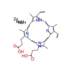 C=CC1=C(C)c2cc3[nH]c(cc4nc(cc5[nH]c(cc1n2)c(C)c5CCC(=O)O)C(CCC(=O)O)=C4C)c(C)c3C=C.[NaH].[NaH].[Zn]